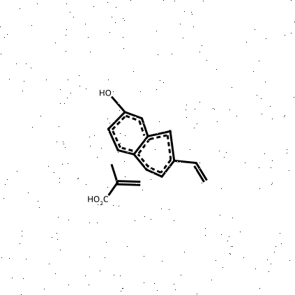 C=C(C)C(=O)O.C=Cc1ccc2ccc(O)cc2c1